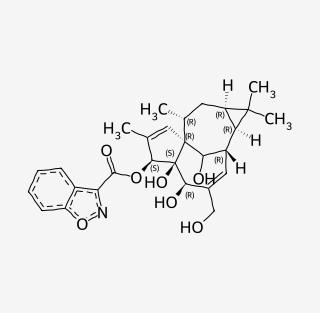 CC1=C[C@]23C(O)[C@@H](C=C(CO)[C@@H](O)[C@]2(O)[C@H]1OC(=O)c1noc2ccccc12)[C@H]1[C@@H](C[C@H]3C)C1(C)C